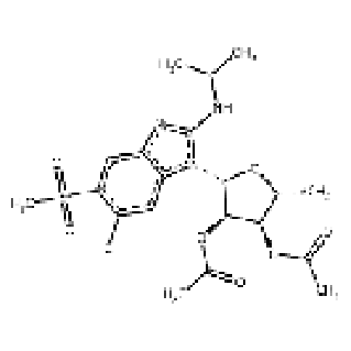 CC(=O)O[C@@H]1[C@H](OC(C)=O)[C@@H](C)O[C@H]1n1c(NC(C)C)nc2cc(S(C)(=O)=O)c(Cl)cc21